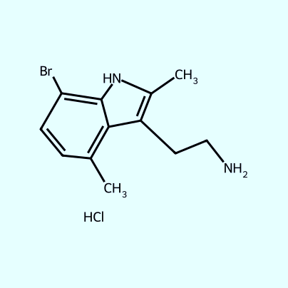 Cc1[nH]c2c(Br)ccc(C)c2c1CCN.Cl